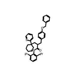 CC(C)c1cccc(C(C)C)c1NC(=O)C(Cc1ccc(OCc2ccccc2)cc1)CC1(c2ccccn2)CCCCC1